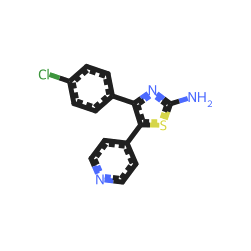 Nc1nc(-c2ccc(Cl)cc2)c(-c2ccncc2)s1